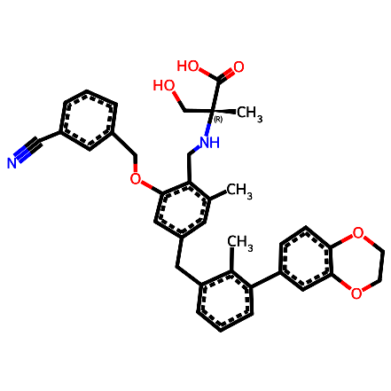 Cc1cc(Cc2cccc(-c3ccc4c(c3)OCCO4)c2C)cc(OCc2cccc(C#N)c2)c1CN[C@](C)(CO)C(=O)O